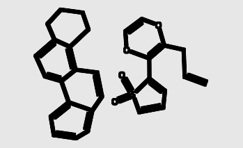 C=CCC1=C(C2=CC=CS2(=O)=O)OC=CO1.c1ccc2c(c1)ccc1c3c(ccc12)CCCC3